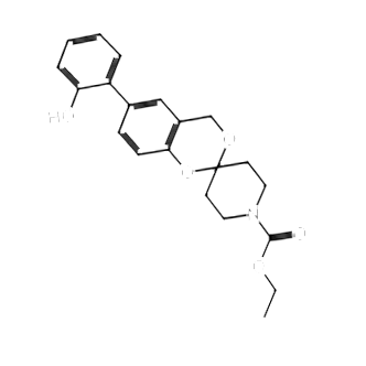 CCOC(=O)N1CCC2(CC1)OCc1cc(-c3ccccc3O)ccc1O2